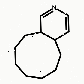 C1=CC2CCCCCCCC2C=N1